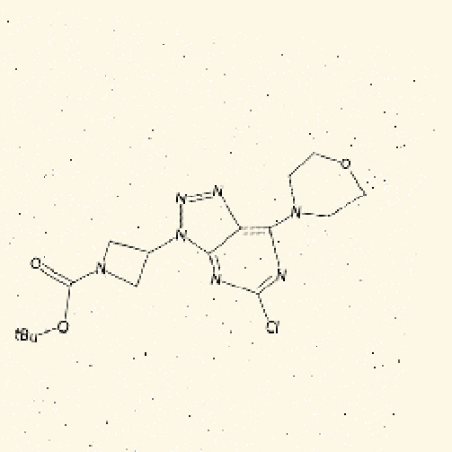 CC(C)(C)OC(=O)N1CC(n2nnc3c(N4CCOCC4)nc(Cl)nc32)C1